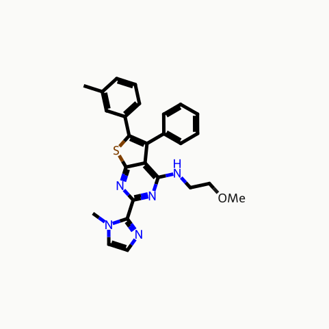 COCCNc1nc(-c2nccn2C)nc2sc(-c3cccc(C)c3)c(-c3ccccc3)c12